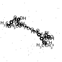 Cc1ncsc1-c1ccc(CNC(=O)[C@@H]2C[C@@H](O)CN2C(=O)[C@@H](NC(=O)CCOCCOCCOCCNC(=O)c2ccc(-c3ccc(N4C[C@@H](C)N(C)[C@@H](C)C4)c(NC(=O)c4c[nH]c(=O)cc4C(F)(F)F)c3)c(F)c2)C(C)(C)C)cc1